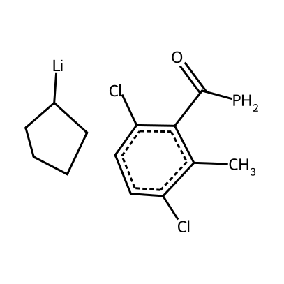 Cc1c(Cl)ccc(Cl)c1C(=O)P.[Li][CH]1CCCC1